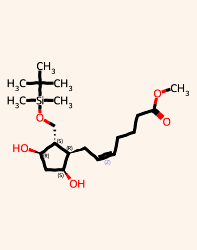 COC(=O)CCC/C=C\C[C@@H]1[C@@H](CO[Si](C)(C)C(C)(C)C)[C@H](O)C[C@@H]1O